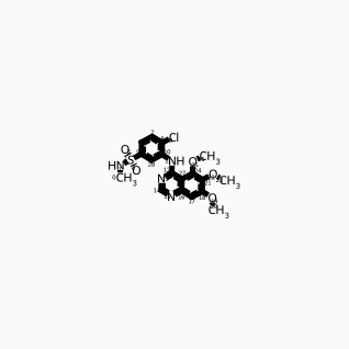 CNS(=O)(=O)c1ccc(Cl)c(Nc2ncnc3cc(OC)c(OC)c(OC)c23)c1